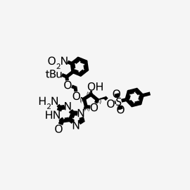 Cc1ccc(S(=O)(=O)OC[C@H]2O[C@@H](n3cnc4c(=O)[nH]c(N)nc43)[C@H](OCOC(c3ccccc3[N+](=O)[O-])C(C)(C)C)[C@H]2O)cc1